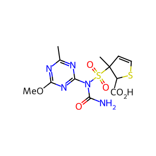 COc1nc(C)nc(N(C(N)=O)S(=O)(=O)C2(C)C=CSC2C(=O)O)n1